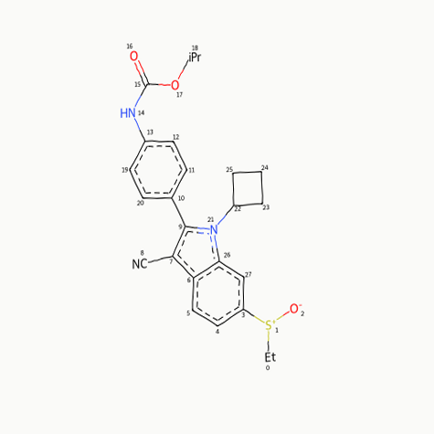 CC[S+]([O-])c1ccc2c(C#N)c(-c3ccc(NC(=O)OC(C)C)cc3)n(C3CCC3)c2c1